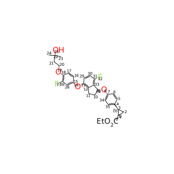 CCOC(=O)[C@H]1C[C@@H]1c1ccc(O[C@@H]2CCc3c(Oc4ccc(OCCC(C)(C)O)c(F)c4)ccc(F)c32)cc1